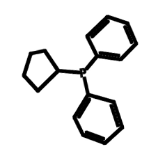 c1ccc(P(c2ccccc2)C2CCCC2)cc1